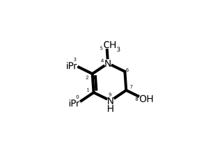 CC(C)C1=C(C(C)C)N(C)CC(O)N1